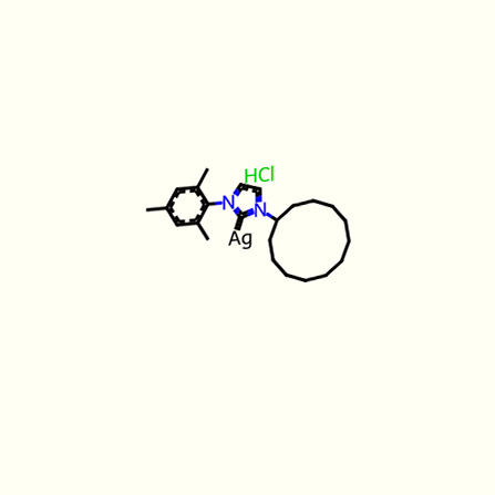 Cc1cc(C)c(-n2ccn(C3CCCCCCCCCCC3)[c]2=[Ag])c(C)c1.Cl